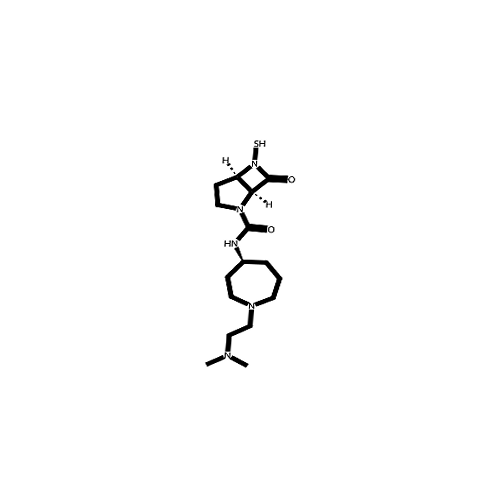 CN(C)CCN1CCC[C@H](NC(=O)N2CC[C@@H]3[C@H]2C(=O)N3S)CC1